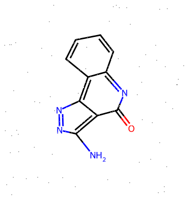 NC1=C2C(=O)N=c3ccccc3=C2N=N1